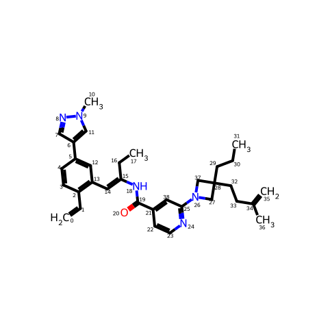 C=Cc1ccc(-c2cnn(C)c2)cc1/C=C(\CC)NC(=O)c1ccnc(N2CC(CCC)(CCC(=C)C)C2)c1